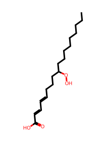 CCCCCCCCCC(CCCC=CC=CC(=O)O)OO